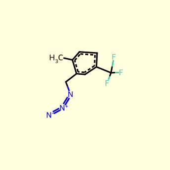 Cc1ccc(C(F)(F)F)cc1CN=[N+]=[N-]